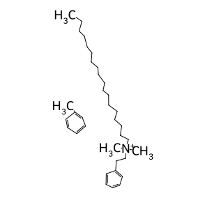 CCCCCCCCCCCCCCCCCC[N+](C)(C)CCc1ccccc1.Cc1ccccc1